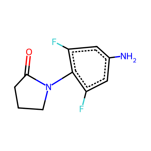 Nc1cc(F)c(N2CCCC2=O)c(F)c1